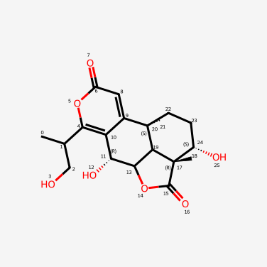 CC(CO)c1oc(=O)cc2c1[C@@H](O)C1OC(=O)[C@]3(C)C1[C@]2(C)CC[C@@H]3O